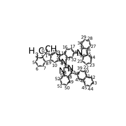 CC1(C)c2ccccc2-c2cc3c(cc21)c1ccc(-n2c4ccccc4c4ccccc42)cc1n3-c1nc(-c2ccc3ccccc3c2)c2ccccc2n1